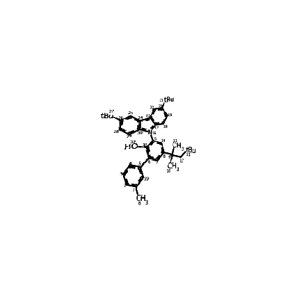 Cc1cccc(-c2cc(C(C)(C)CC(C)(C)C)cc(-n3c4ccc(C(C)(C)C)cc4c4cc(C(C)(C)C)ccc43)c2O)c1